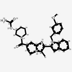 COc1cccc(Cn2c(-c3nc4cc(C(=O)N5CCC[C@@H](OC(N)=O)C5)ccn4c3C)cc3ccccc32)c1